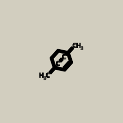 CC12C=CC(C)(CC1)CC2